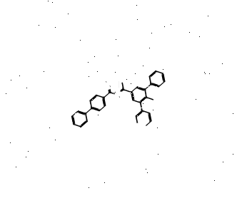 C/C=C\C(=C/C)c1cc(/C(C)=N/C(=N)c2ccc(-c3ccccc3)cc2)cc(-c2ccccc2)c1C